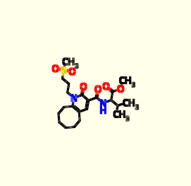 COC(=O)C(NC(=O)c1cc2c(n(CCCS(C)(=O)=O)c1=O)CCCCCC2)C(C)C